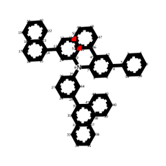 c1ccc(-c2ccc(N(c3cccc(-c4cccc5ccccc45)c3)c3cccc(-c4cc5ccccc5c5ccccc45)c3)c(-c3ccccc3)c2)cc1